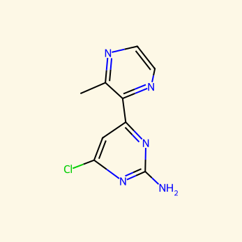 Cc1nccnc1-c1cc(Cl)nc(N)n1